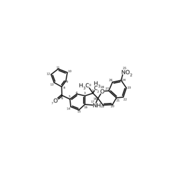 CC1(C)c2cc(C(=O)c3ccccc3)ccc2NC12C=Cc1ccc([N+](=O)[O-])cc1O2